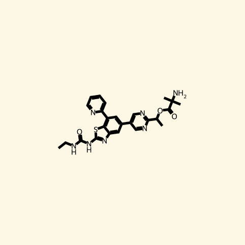 CCNC(=O)Nc1nc2cc(-c3cnc(C(C)OC(=O)C(C)(C)N)nc3)cc(-c3ccccn3)c2s1